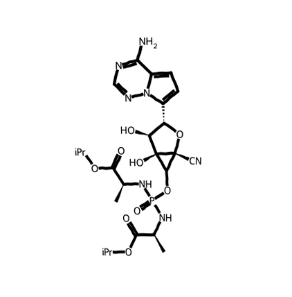 CC(C)OC(=O)[C@H](C)NP(=O)(N[C@@H](C)C(=O)OC(C)C)OC1[C@@]2(C#N)O[C@@H](c3ccc4c(N)ncnn34)[C@H](O)[C@@]12O